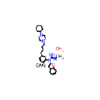 CN=C(N)N(c1cc2ccccc2o1)c1cc(CCCCN2CCN(C3CCCCC3)CC2)ccc1OC.O